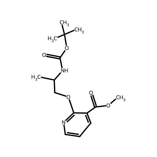 COC(=O)c1cccnc1OCC(C)NC(=O)OC(C)(C)C